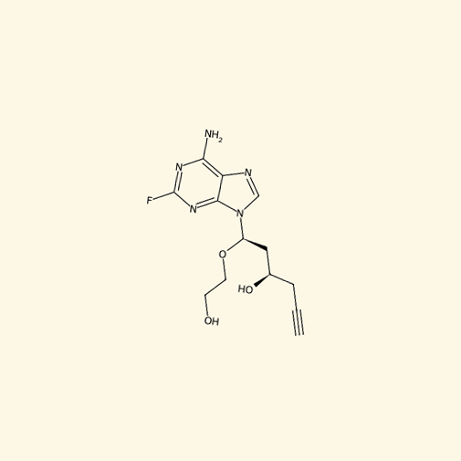 C#CC[C@@H](O)C[C@@H](OCCO)n1cnc2c(N)nc(F)nc21